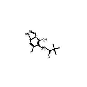 CC1=CC2NN=CN2C(O)=C1CNC(=O)C(C)(C)C